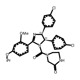 COc1cc(OC(C)C)ccc1C1=N[C@@H](c2ccc(Cl)cc2)[C@@H](c2ccc(Cl)cc2)N1C(=O)N1CCNC(=O)C1